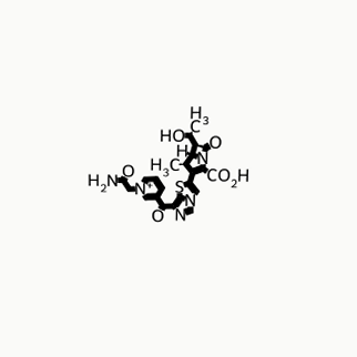 C[C@@H](O)[C@H]1C(=O)N2C(C(=O)O)=C(c3cn4cnc(C(=O)c5ccc[n+](CC(N)=O)c5)c4s3)[C@H](C)[C@H]12